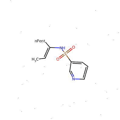 CC=C(CCCCC)NS(=O)(=O)c1cccnc1